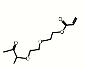 C=CC(=O)OCCOCCOC(C)C(C)=O